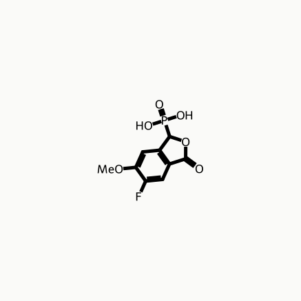 COc1cc2c(cc1F)C(=O)OC2P(=O)(O)O